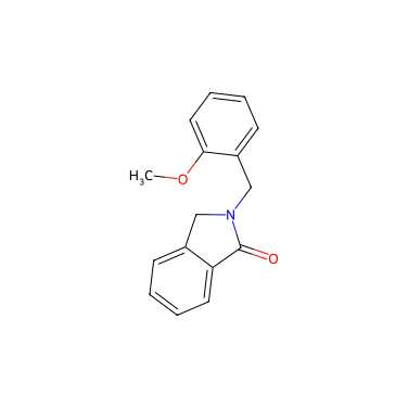 COc1ccccc1CN1Cc2ccccc2C1=O